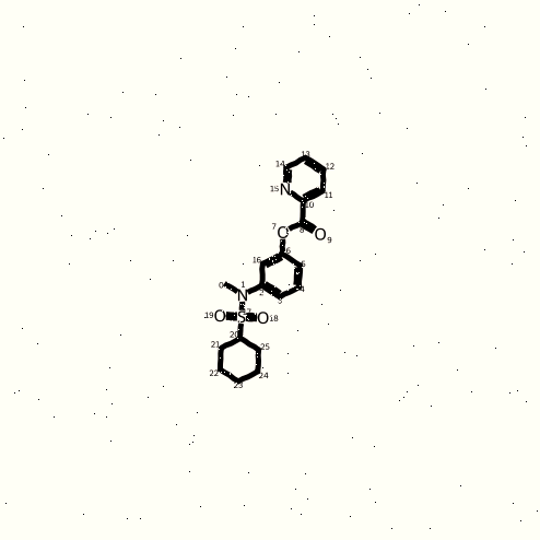 CN(c1cccc(OC(=O)c2ccccn2)c1)S(=O)(=O)C1CCCCC1